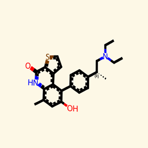 CCN(CC)C[C@H](C)c1ccc(-c2c(O)cc(C)c3[nH]c(=O)c4sccc4c23)cc1